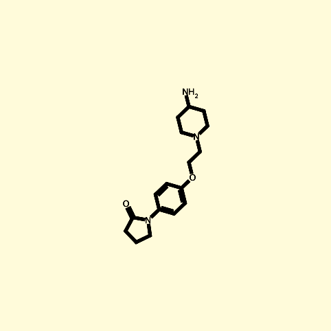 NC1CCN(CCOc2ccc(N3CCCC3=O)cc2)CC1